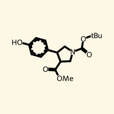 COC(=O)C1CN(C(=O)OC(C)(C)C)CC1c1ccc(O)cc1